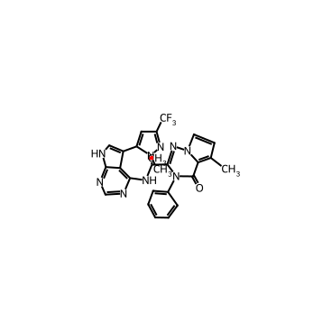 Cc1ccn2nc(C(C)Nc3ncnc4[nH]cc(-c5cc(C(F)(F)F)nn5C)c34)n(-c3ccccc3)c(=O)c12